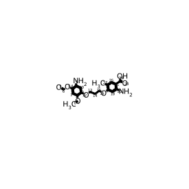 COc1cc(OC=O)c(N)cc1OCCCOc1cc(N)c(C(=O)O)cc1C